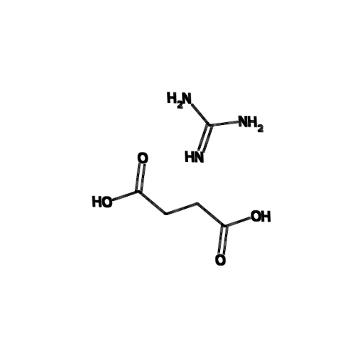 N=C(N)N.O=C(O)CCC(=O)O